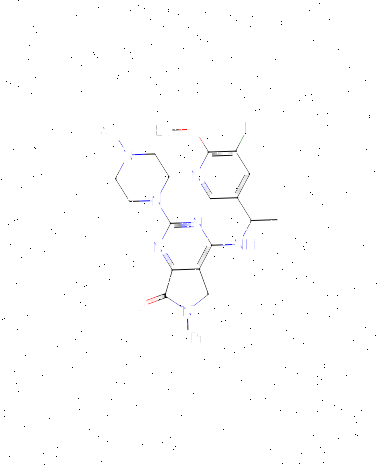 CCOc1ncc(C(C)Nc2nc(N3CCN(C(C)=O)CC3)nc3c2CN(C(C)C)C3=O)cc1F